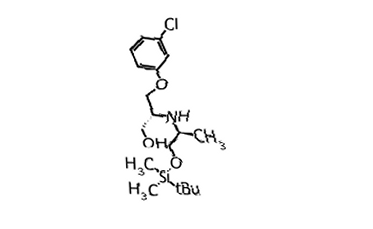 C[C@@H](CO[Si](C)(C)C(C)(C)C)N[C@H](CO)COc1cccc(Cl)c1